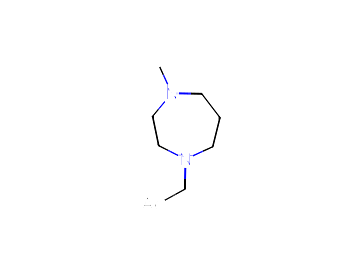 CC(=O)CN1CCCN(C)CC1